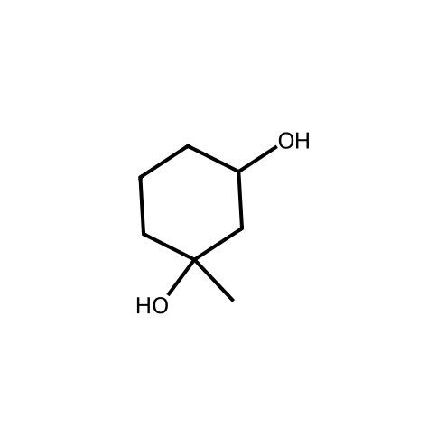 CC1(O)CCCC(O)C1